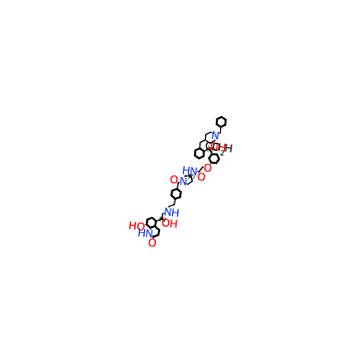 O=C(COc1cccc([C@@](O)(C(=O)O)c2ccccc2CC2CCN(Cc3ccccc3)CC2)c1)N[C@@H]1CCN(C(=O)c2ccc(CCNC[C@H](O)c3ccc(O)c4[nH]c(=O)ccc34)cc2)C1